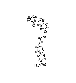 NC(=O)c1ccc(N2CCN(CCCCCOc3ccc4ncc(-n5ccc(=O)[nH]c5=O)cc4c3)CC2)nc1